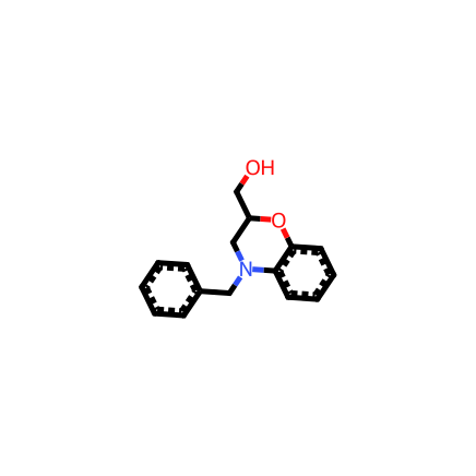 OCC1CN(Cc2ccccc2)c2ccccc2O1